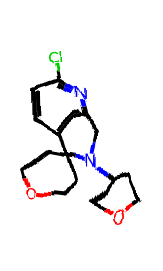 Clc1ccc2c(n1)CN(C1CCOC1)C21CCOCC1